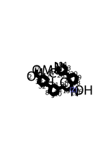 COC(=O)c1ccc(-c2cccc(CC/C(=N/O)c3cccc(-c4ccnc(C)c4)c3C)c2)cc1